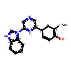 COC1=C(O)C=CC(c2cncc(-n3cnc4ccccc43)n2)C1